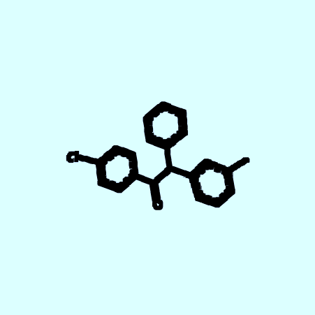 Cc1cccc(C(C(=O)c2ccc(Cl)cc2)c2ccccc2)c1